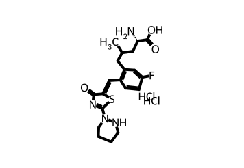 CC(Cc1cc(F)ccc1C=C1SC(N2CCCCN2)=NC1=O)C[C@H](N)C(=O)O.Cl.Cl